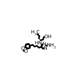 CCCC[C@@H](CCO)Nc1nc(N)ncc1CCCCc1ccc2c(c1)OCO2